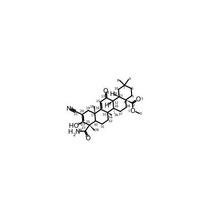 COC(=O)[C@]12CCC(C)(C)C[C@H]1[C@H]1C(=O)C=C3[C@@]4(C)CC(C#N)=C(O)[C@@](C)(C(N)=O)C4CC[C@@]3(C)[C@]1(C)CC2